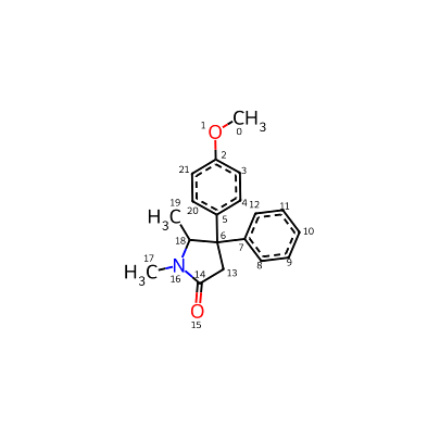 COc1ccc(C2(c3ccccc3)CC(=O)N(C)C2C)cc1